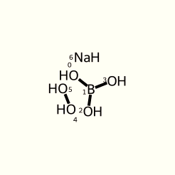 OB(O)O.OO.[NaH]